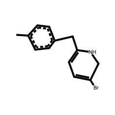 Cc1ccc(CC2=CC=C(Br)CN2)cc1